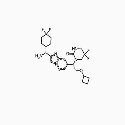 N[C@H](c1cn2ncc([C@@H](COC3CCC3)N3CC(F)(F)CNC3=O)cc2n1)C1CCC(F)(F)CC1